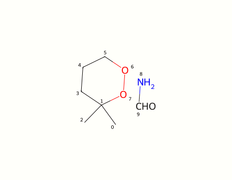 CC1(C)CCCOO1.NC=O